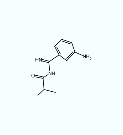 CC(C)C(=O)NC(=N)c1cccc(N)c1